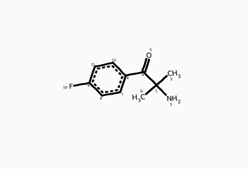 CC(C)(N)C(=O)c1ccc(F)cc1